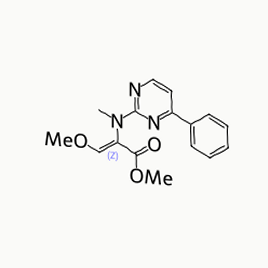 CO/C=C(/C(=O)OC)N(C)c1nccc(-c2ccccc2)n1